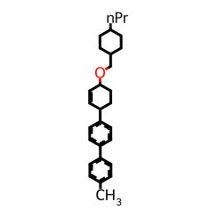 CCCC1CCC(COC2C=CC(c3ccc(-c4ccc(C)cc4)cc3)CC2)CC1